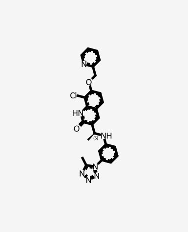 Cc1nnnn1-c1cccc(N[C@@H](C)c2cc3ccc(OCc4ccccn4)c(Cl)c3[nH]c2=O)c1